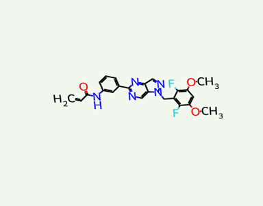 C=CC(=O)Nc1cccc(-c2ncc3c(cnn3Cc3c(F)c(OC)cc(OC)c3F)n2)c1